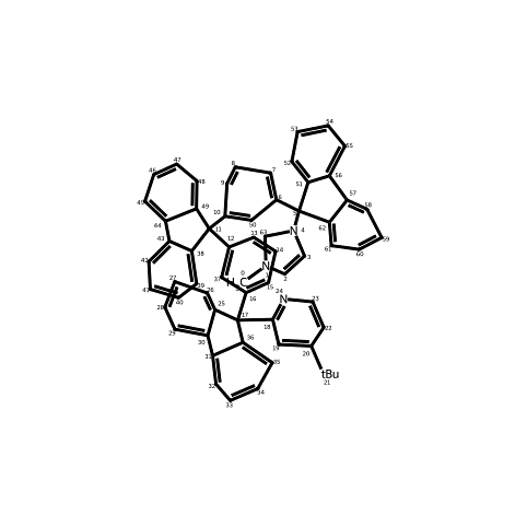 CN1C=CN(C2(c3cccc(C4(c5cccc(C6(c7cc(C(C)(C)C)ccn7)c7ccccc7-c7ccccc76)c5)c5ccccc5-c5ccccc54)c3)c3ccccc3-c3ccccc32)C1